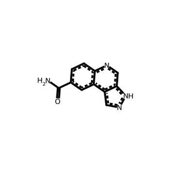 NC(=O)c1ccc2ncc3[nH]ncc3c2c1